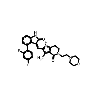 Cc1c(C=C2C(=O)Nc3cccc(-c4ccc(Cl)cc4F)c32)[nH]c2c1C(=O)N(CCN1CCOCC1)CC2